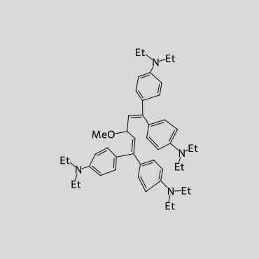 CCN(CC)c1ccc(C(=CC(C=C(c2ccc(N(CC)CC)cc2)c2ccc(N(CC)CC)cc2)OC)c2ccc(N(CC)CC)cc2)cc1